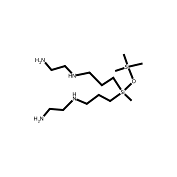 C[Si](C)(C)O[Si](C)(CCCNCCN)CCCNCCN